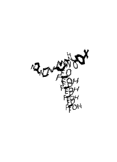 CC(C)(C)c1ccc(C(=O)Nc2cn3nc(N4CCN(Cc5cccnc5)CC4)ccc3n2)cc1.O=C(O)C(F)(F)F.O=C(O)C(F)(F)F.O=C(O)C(F)(F)F.O=C(O)C(F)(F)F